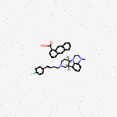 CN1CCN2c3c(cccc31)[C@@H]1CN(CCC=Cc3ccc(F)cc3)CC[C@@H]12.O=C(O)c1cccc2cc3ccccc3cc12